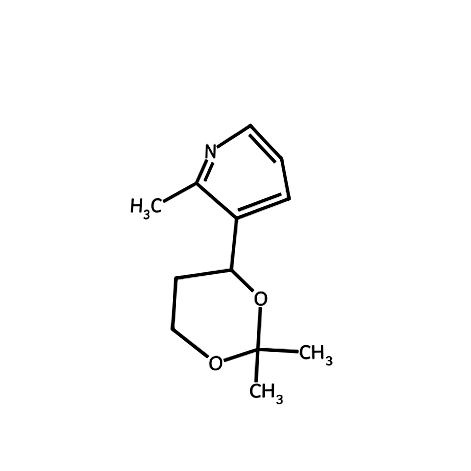 Cc1ncccc1C1CCOC(C)(C)O1